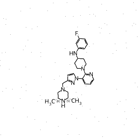 C[C@@H]1CN(Cc2ccn(-c3cccnc3N3CCC(Nc4cccc(F)c4)CC3)n2)C[C@H](C)N1